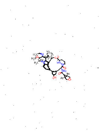 C=C/C(=C(\N=C/C)[C@H](C)OC)c1c2c3cc(ccc3n1CC)-c1cc(O)cc(c1)C[C@H](NC(=O)C1[C@H]3COC[C@@H]13)C(=O)N1CCC[C@H](N1)C(=O)OCC(C)(C)C2